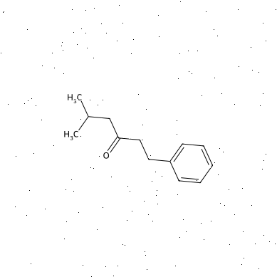 CC(C)CC(=O)[CH]Cc1ccccc1